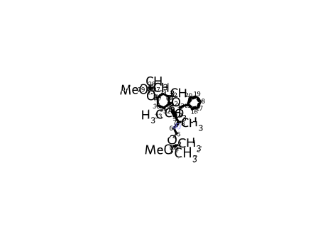 COC(C)(C)OC/C=C(\C)C#C[C@]1(OC(=O)c2ccccc2)[C@H](C)C[C@@H](OC(C)(C)OC)CC1(C)C